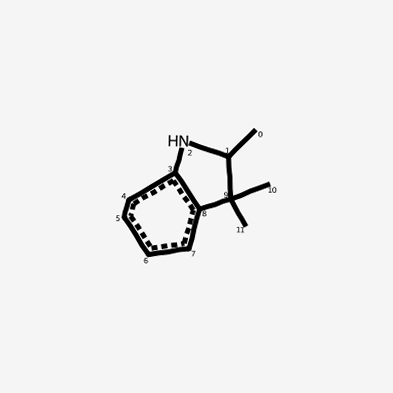 CC1Nc2ccccc2C1(C)C